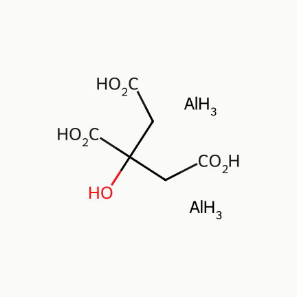 O=C(O)CC(O)(CC(=O)O)C(=O)O.[AlH3].[AlH3]